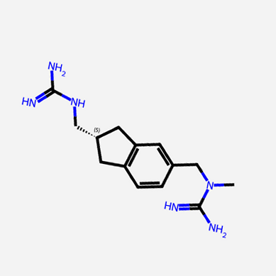 CN(Cc1ccc2c(c1)C[C@@H](CNC(=N)N)C2)C(=N)N